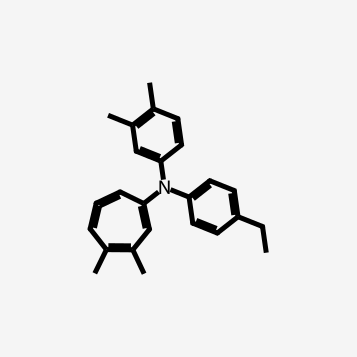 CCc1ccc(N(C2=CC(C)=C(C)C=C=C2)c2ccc(C)c(C)c2)cc1